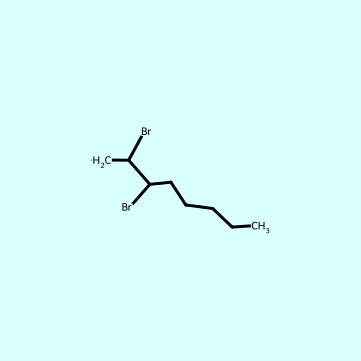 [CH2]C(Br)C(Br)CCCCC